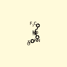 C[S+]([O-])c1ccc(-n2cnc3ccc(-c4nnc(CCc5cccc(C(F)(F)F)c5)o4)cc32)cc1